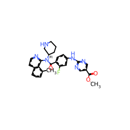 COC(=O)c1cnc(Nc2ccc(C(=O)N(c3nccc4cccc(C)c34)[C@@H]3CCCNC3)c(F)c2)nc1